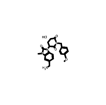 COc1ccc(CN2C(=O)CCC(n3c(=O)n(C)c4cc(CN)ccc43)C2=O)cc1.Cl